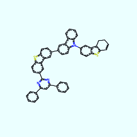 C1=Cc2sc3ccc(-n4c5ccccc5c5cc(-c6ccc7sc8ccc(-c9nc(-c%10ccccc%10)cc(-c%10ccccc%10)n9)cc8c7c6)ccc54)cc3c2CC1